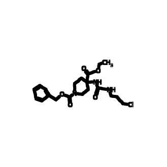 CCOC(=O)C1(NC(=O)NCCCCl)CCN(C(=O)OCc2ccccc2)CC1